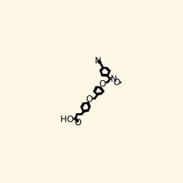 CO/N=C(\COc1ccc(COc2ccc(CCC(=O)O)cc2)cc1)c1ccc(C#N)cc1